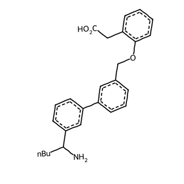 CCCCC(N)c1cccc(-c2cccc(COc3ccccc3CC(=O)O)c2)c1